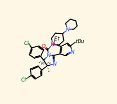 CCOc1cc(C(C)(C)C)ncc1C1=N[C@@](C)(c2ccc(Cl)cc2)[C@@](C)(c2ccc(Cl)cc2)N1C(=O)N1CCC(N2CCCCC2)CC1